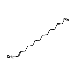 CCCCC=CCCCCCCCCCC=CC=O